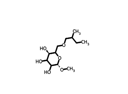 CCC(C)COCC1O[C@H](OC)C(O)C(O)[C@H]1O